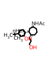 CCCCCCC(C)(C)c1ccc([C@@H]2C[C@H](NC(C)=O)CCC[C@H]2CCCO)c(O)c1